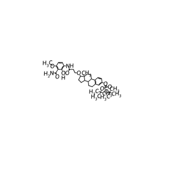 COc1ccc(NC(=O)CCO[C@@H]2CCC3C4CCc5cc(OP(=O)(OC(C)(C)C)OC(C)(C)C)ccc5C4CC[C@]32C)c(O)c1C(N)=O